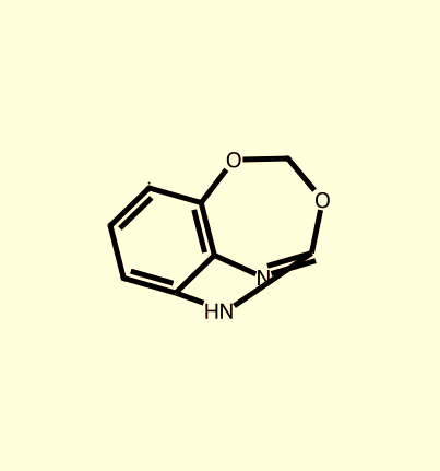 [c]1ccc2[nH]c3nc2c1OCO3